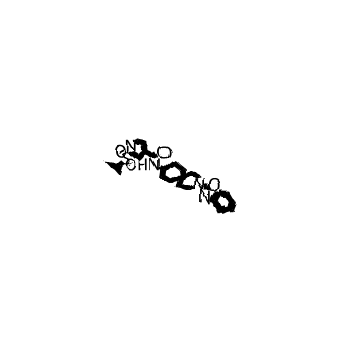 O=C(NC1CCC2(CC1)CCN(c1nc3ccccc3o1)CC2)c1ccnc(S(=O)(=O)C2CC2)c1